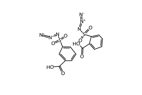 [N-]=[N+]=NS(=O)(=O)c1cccc(C(=O)O)c1.[N-]=[N+]=NS(=O)(=O)c1ccccc1C(=O)O